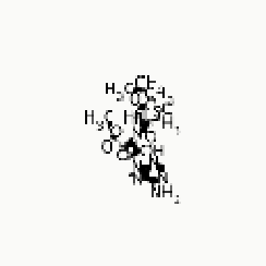 CCOC(=O)[C@H]1O[C@@H](n2cnc3c(N)ncnc32)[C@H](O)[C@@H]1NC(=O)[C@H](CSC)NC(=O)OC(C)(C)C